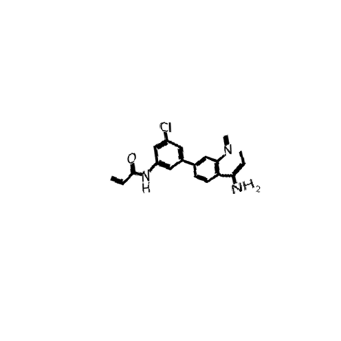 C=CC(=O)Nc1cc(Cl)cc(-c2ccc(/C(N)=C\C)c(N=C)c2)c1